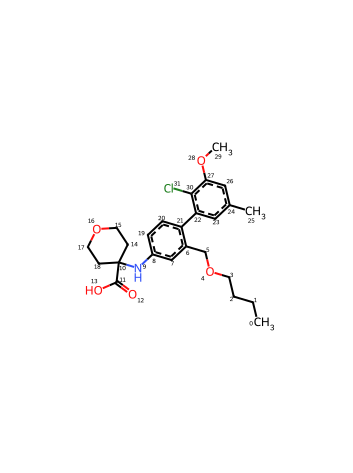 CCCCOCc1cc(NC2(C(=O)O)CCOCC2)ccc1-c1cc(C)cc(OC)c1Cl